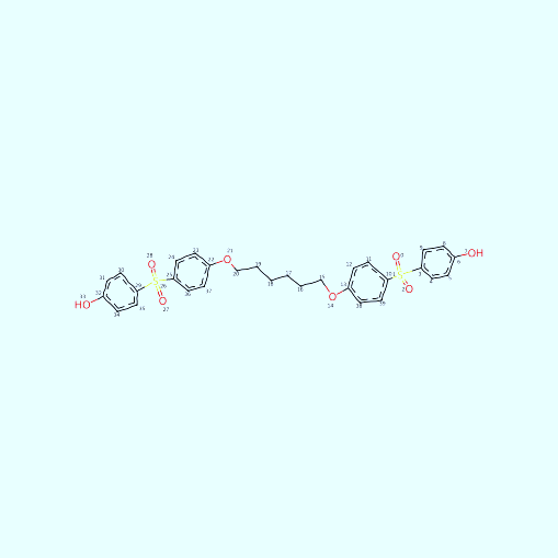 O=S(=O)(c1ccc(O)cc1)c1ccc(OCCCCCCOc2ccc(S(=O)(=O)c3ccc(O)cc3)cc2)cc1